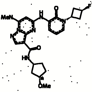 CNc1cc(Nc2cccn([C@H]3C[C@H](F)C3)c2=O)nc2c(C(=O)NC3CC[C@H](OC)C3)cnn12